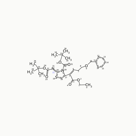 CCOC(=O)C(=CCCOCc1ccccc1)c1cs/c(=N\C(=O)OC(C)(C)C)n1C(=O)OC(C)(C)C